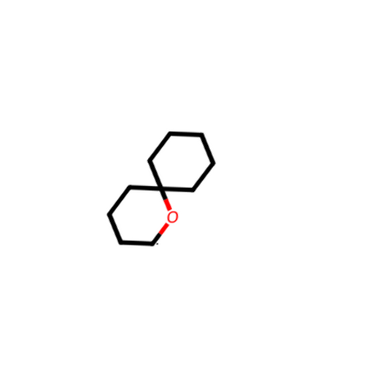 [CH]1CCCC2(CCCCC2)O1